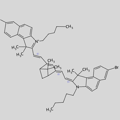 CCCCCN1/C(=C/C=C2C=C(/C=C/C3=[N+](CCCCC)c4ccc5cc(Br)ccc5c4C3(C)C)C3CC/2C3(C)C)C(C)(C)c2c1ccc1cc(Br)ccc21